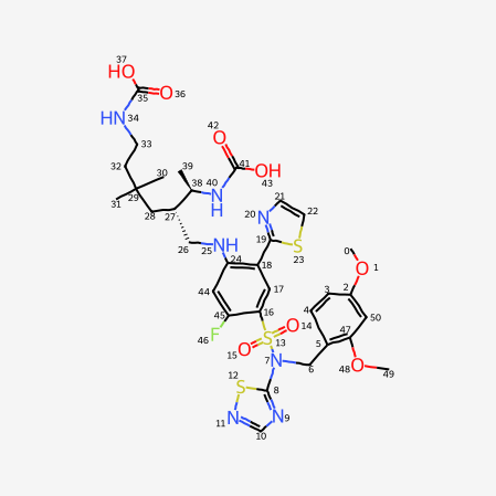 COc1ccc(CN(c2ncns2)S(=O)(=O)c2cc(-c3nccs3)c(NC[C@H](CC(C)(C)CCNC(=O)O)[C@@H](C)NC(=O)O)cc2F)c(OC)c1